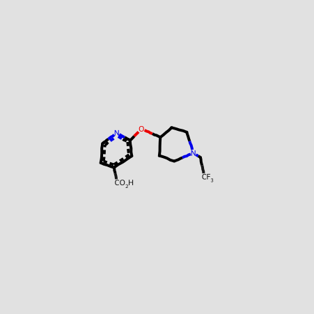 O=C(O)c1ccnc(OC2CCN(CC(F)(F)F)CC2)c1